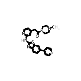 CN1CCN(C(=O)Cc2ccnc(Nc3nc4ccc(-c5ccncc5)cc4s3)c2)CC1